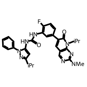 CNc1ncc2cc(-c3ccc(F)c(NC(=O)Nc4cc(C(C)C)nn4-c4ccccc4)c3)c(=O)n(C(C)C)c2n1